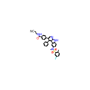 Cc1ccc(F)cc1S(=O)(=O)N(C)c1ccc2[nH]c3ncc(-c4ccc(C(=O)NCCC#N)cc4)c(-c4ccccc4)c3c2c1